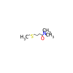 CCSCCCC(=O)N(C)C